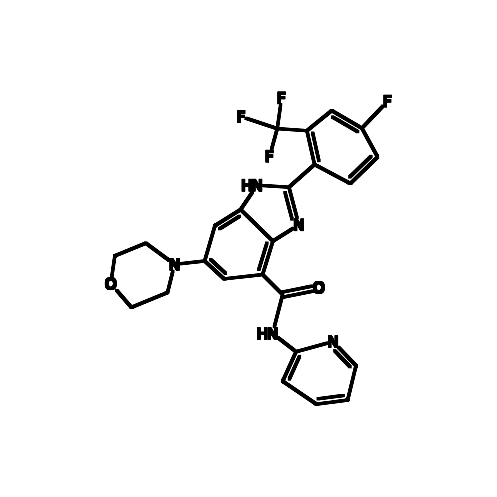 O=C(Nc1ccccn1)c1cc(N2CCOCC2)cc2[nH]c(-c3ccc(F)cc3C(F)(F)F)nc12